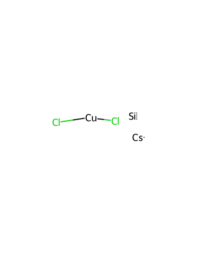 [Cl][Cu][Cl].[Cs].[Si]